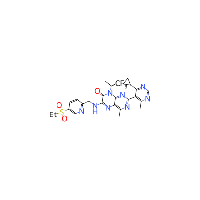 CCS(=O)(=O)c1ccc(CNc2nc3c(C)nc(-c4c(C)ncnc4C4CC4)nc3n([C@@H](C)C(F)(F)F)c2=O)nc1